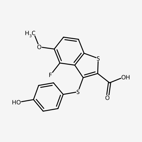 COc1ccc2sc(C(=O)O)c(Sc3ccc(O)cc3)c2c1F